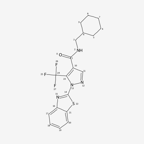 O=C(NCC1CCCCC1)c1cnn(-c2nc3ccccc3s2)c1C(F)(F)F